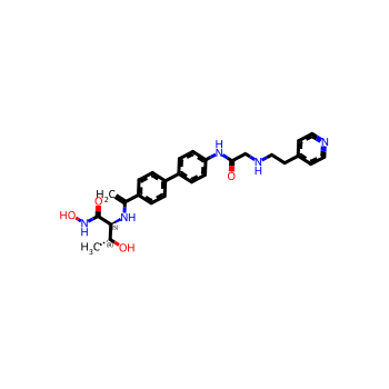 C=C(N[C@H](C(=O)NO)[C@@H](C)O)c1ccc(-c2ccc(NC(=O)CNCCc3ccncc3)cc2)cc1